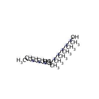 CC(C)=CCC/C(C)=C/CC/C(C)=C/CC/C(C)=C/CCC(C)C(O)CC/C(C)=C/CC/C(C)=C/CC/C(C)=C/CC/C(C)=C/CC/C(C)=C/CO